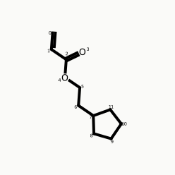 C=CC(=O)OCCC1CCCC1